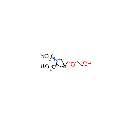 O=C(O)[C@@H]1C[C@](F)(COCCO)CN1C(=O)O